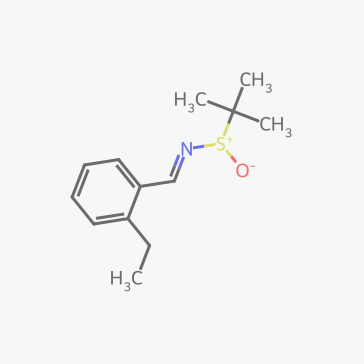 CCc1ccccc1/C=N/[S+]([O-])C(C)(C)C